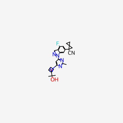 Cc1nc(N2CC3(C(C)(C)O)CC2C3)cc(-n2ncc3c(F)cc(C4(C#N)CC45CC5)cc32)n1